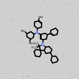 CC(C)(C)C1=CCC(N(C2=CC(N3C4CCC(C5CCCCC5)CC4C4(CCCCC4)C3(C)C)CC(C3=CCCCC3)C2)C2CC(C(C)(C)C)CC(C(C)(C)C)C2)CC1